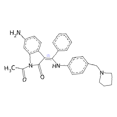 CC(=O)N1C(=O)/C(=C(\Nc2ccc(CN3CCCC3)cc2)c2ccccc2)c2ccc(N)cc21